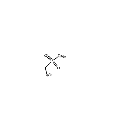 [CH2]CCCS(=O)(=O)OC